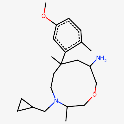 COc1ccc(C)c(C2(C)CCN(CC3CC3)C(C)COCC(N)C2)c1